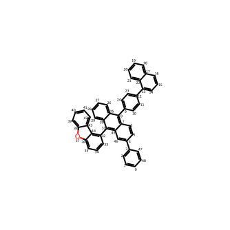 c1ccc(-c2ccc3c(-c4ccc(-c5cccc6ccccc56)cc4)c4ccccc4c(-c4cccc5oc6ccccc6c45)c3c2)cc1